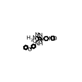 Nc1ncnc2c1c(C(=O)Nc1ccc(Oc3ccccc3)cc1)nn2C1CCC(N2CCOCC2)CC1